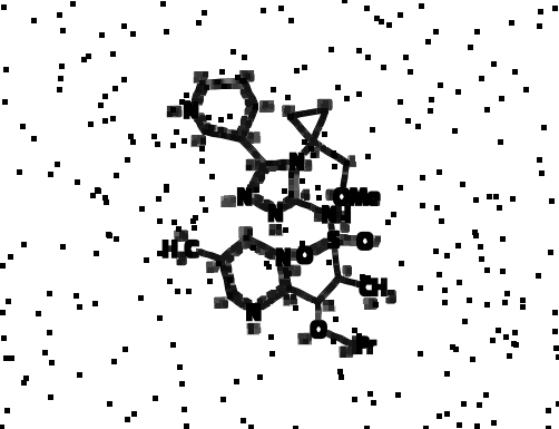 COCC1(n2c(NS(=O)(=O)C(C)C(OC(C)C)c3ncc(C)cn3)nnc2-c2cccnc2)CC1